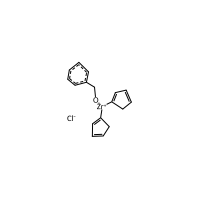 C1=CC[C]([Zr+]([O]Cc2ccccc2)[C]2=CC=CC2)=C1.[Cl-]